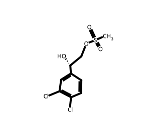 CS(=O)(=O)OC[C@@H](O)c1ccc(Cl)c(Cl)c1